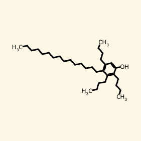 CCCCCCCCCCCCCCCc1c(CCCC)cc(O)c(CCCC)c1CCCC